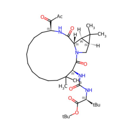 CC(=O)C(=O)[C@@H]1CCCCCCCCCC(C)(C)[C@H](NC(=O)N[C@H](C(=O)OC(C)(C)C)C(C)(C)C)C(=O)N2C[C@H]3[C@@H]([C@H]2C(=O)N1)C3(C)C